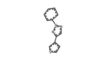 c1ccc(-n2ncc(-c3ccsc3)n2)cc1